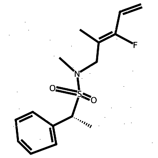 C=C/C(F)=C(\C)CN(C)S(=O)(=O)[C@H](C)c1ccccc1